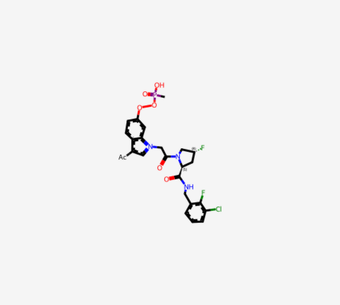 CC(=O)c1cn(CC(=O)N2C[C@H](F)C[C@H]2C(=O)NCc2cccc(Cl)c2F)c2cc(OOP(C)(=O)O)ccc12